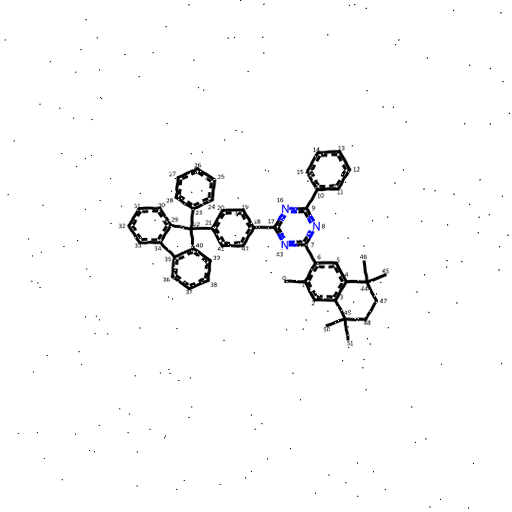 Cc1cc2c(cc1-c1nc(-c3ccccc3)nc(-c3ccc(C4(c5ccccc5)c5ccccc5-c5ccccc54)cc3)n1)C(C)(C)CCC2(C)C